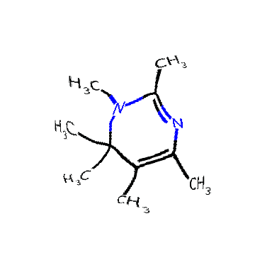 CC1=NC(C)=C(C)C(C)(C)N1C